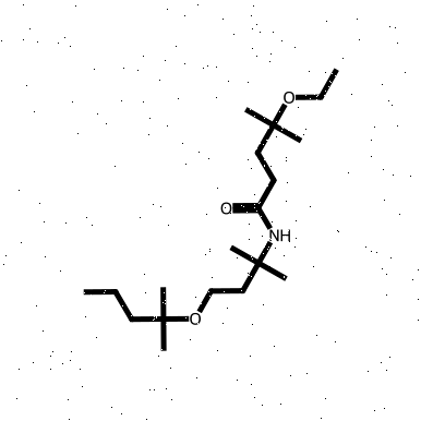 CCCC(C)(C)OCCC(C)(C)NC(=O)CCC(C)(C)OCC